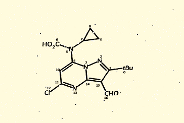 CC(C)(C)c1nn2c(N(C(=O)O)C3CC3)cc(Cl)nc2c1C=O